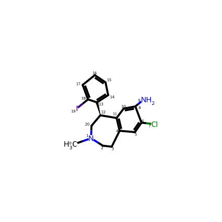 CN1CCc2cc(Cl)c(N)cc2[C@H](c2ccccc2I)C1